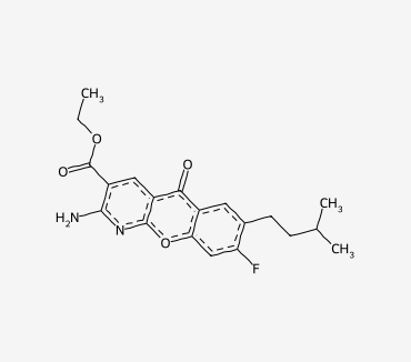 CCOC(=O)c1cc2c(=O)c3cc(CCC(C)C)c(F)cc3oc2nc1N